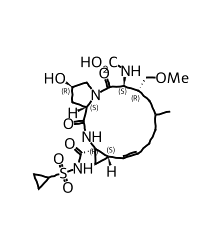 COC[C@@H]1CC(C)CCC=C[C@@H]2C[C@@]2(C(=O)NS(=O)(=O)C2CC2)NC(=O)[C@@H]2C[C@@H](O)CN2C(=O)[C@H]1NC(=O)O